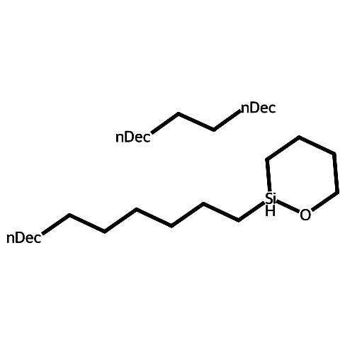 CCCCCCCCCCCCCCCCCCCCCC.CCCCCCCCCCCCCCCC[SiH]1CCCCO1